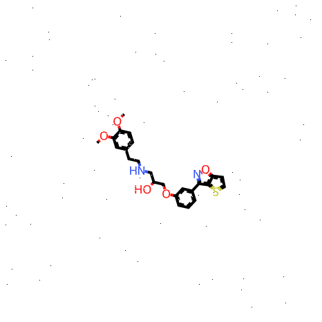 COc1ccc(CCNCC(O)COc2cccc(-c3noc4ccsc34)c2)cc1OC